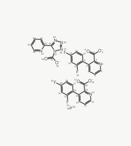 O=C([O-])c1ncccc1-c1ccc(F)cc1F.O=C([O-])c1ncccc1-c1ccc(F)cc1F.O=C([O-])n1nnnc1-c1ccccn1.[Ir+3]